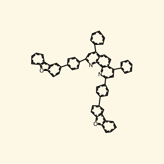 c1ccc(-c2cc(-c3ccc(-c4ccc5oc6ccccc6c5c4)cc3)nc3c2ccc2c(-c4ccccc4)cc(-c4ccc(-c5ccc6oc7ccccc7c6c5)cc4)nc23)cc1